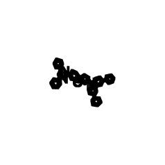 c1ccc(-c2ccc3c(c2)c2cc(-c4ccccc4)ccc2n3-c2ccc3c(c2)oc2cc(-c4nc(-c5ccccc5)cc(-c5ccccc5)n4)ccc23)cc1